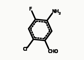 Nc1cc(C=O)c(Cl)cc1F